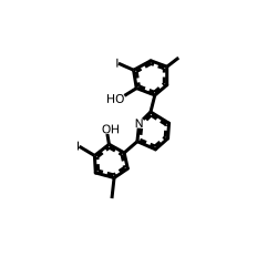 Cc1cc(I)c(O)c(-c2cccc(-c3cc(C)cc(I)c3O)n2)c1